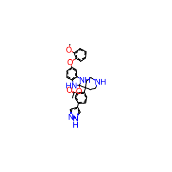 COc1ccccc1Oc1ccc2c(c1)NC(OC(C)=O)(C1(c3ccc(-c4cn[nH]c4)cc3)CCNCC1)N2